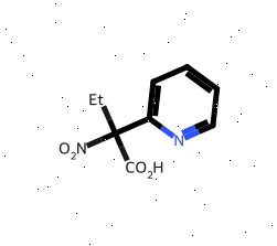 CCC(C(=O)O)(c1ccccn1)[N+](=O)[O-]